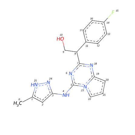 Cc1cc(Nc2nc(C(CO)c3ccc(F)cc3)nc3cccn23)n[nH]1